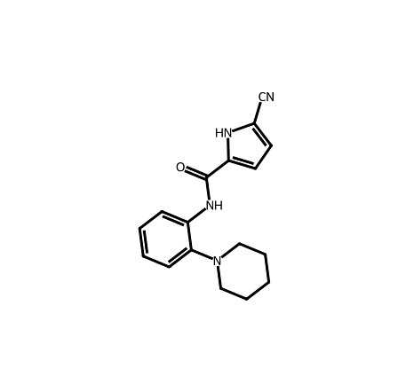 N#Cc1ccc(C(=O)Nc2ccccc2N2CCCCC2)[nH]1